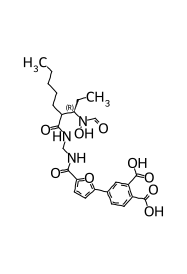 CCCCCC(C(=O)NCNC(=O)c1ccc(-c2ccc(C(=O)O)c(C(=O)O)c2)o1)[C@@H](CC)N(O)C=O